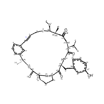 CO[C@@H]1CC/C=C/c2cccc(c2)[C@@H](C)OC(=O)[C@@H]2CCCN(N2)C(=O)[C@H](Cc2cccc(O)c2)NC(=O)[C@H](C(C)C)NC(=O)[C@@H]1C